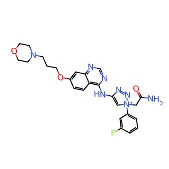 NC(=O)C[N+]1(c2cccc(F)c2)C=C(Nc2ncnc3cc(OCCCN4CCOCC4)ccc23)N=N1